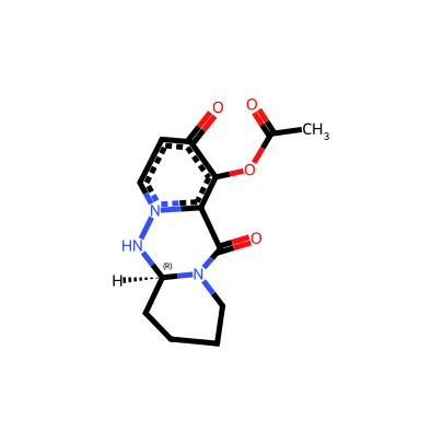 CC(=O)Oc1c2n(ccc1=O)N[C@@H]1CCCCN1C2=O